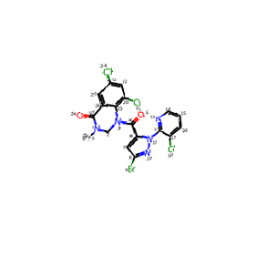 CC(C)N1CN(C(=O)c2cc(Br)nn2-c2ncccc2Cl)c2c(Cl)cc(Cl)cc2C1=O